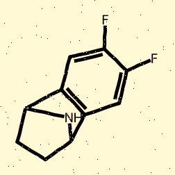 Fc1cc2c(cc1F)C1CCC2N1